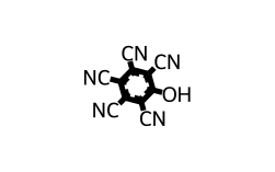 N#Cc1c(O)c(C#N)c(C#N)c(C#N)c1C#N